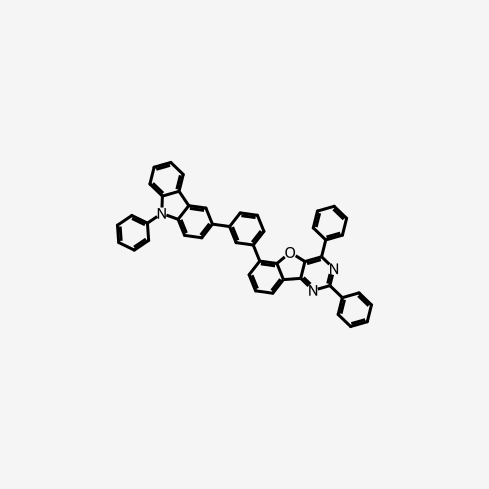 c1ccc(-c2nc(-c3ccccc3)c3oc4c(-c5cccc(-c6ccc7c(c6)c6ccccc6n7-c6ccccc6)c5)cccc4c3n2)cc1